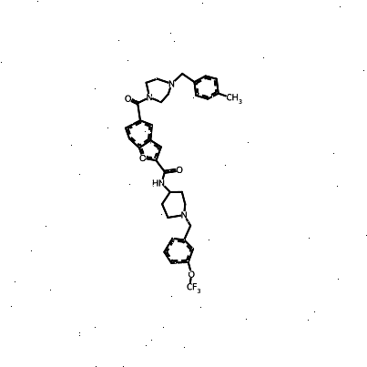 Cc1ccc(CN2CCN(C(=O)c3ccc4oc(C(=O)NC5CCN(Cc6cccc(OC(F)(F)F)c6)CC5)cc4c3)CC2)cc1